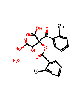 Cc1ccccc1C(=O)O[C@@](C(=O)O)(C(=O)c1ccccc1C)[C@H](O)C(=O)O.O